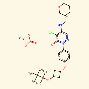 CC(C)(C)[Si](C)(C)O[C@H]1C[C@H](Oc2ccc(-n3ncc(NC[C@H]4CCCOC4)c(Cl)c3=O)cc2)C1.O=C([O-])[O-].[K+].[K+]